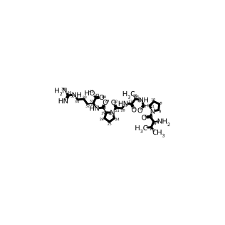 CC(C)[C@H](N)C(=O)N1CCC[C@H]1C(=O)N[C@@H](C)C(=O)NCC(=O)N1CCC[C@H]1C(=O)N[C@@H](CCCNC(=N)N)C(=O)O